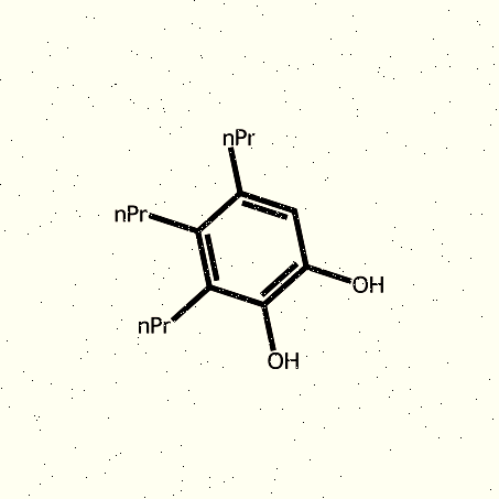 CCCc1cc(O)c(O)c(CCC)c1CCC